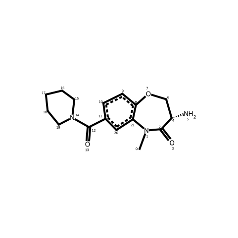 CN1C(=O)[C@@H](N)COc2ccc(C(=O)N3CCCCC3)cc21